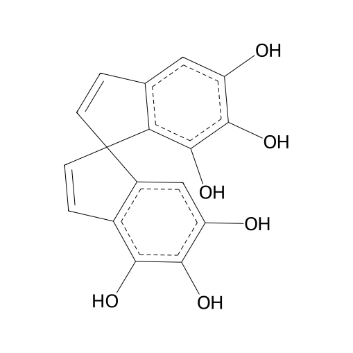 Oc1cc2c(c(O)c1O)C=CC21C=Cc2cc(O)c(O)c(O)c21